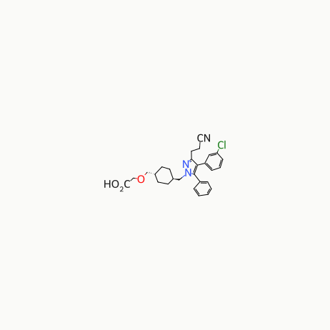 N#CCCc1nn(C[C@H]2CC[C@H](COCC(=O)O)CC2)c(-c2ccccc2)c1-c1cccc(Cl)c1